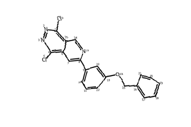 Clc1nnc(Cl)c2cc(-c3cccc(OCc4ccccc4)c3)ncc12